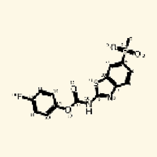 CS(=O)(=O)c1ccc2nc(NC(=O)Oc3ccc(F)cc3)sc2c1